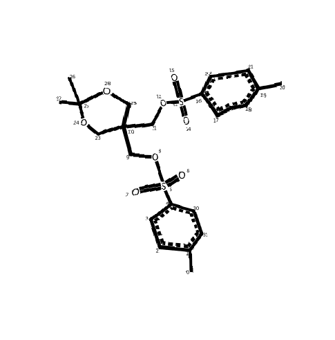 Cc1ccc(S(=O)(=O)OCC2(COS(=O)(=O)c3ccc(C)cc3)COC(C)(C)OC2)cc1